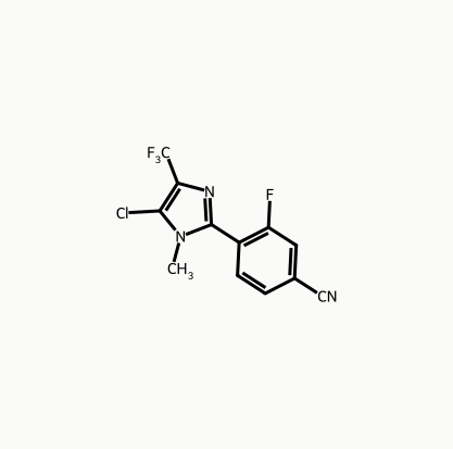 Cn1c(-c2ccc(C#N)cc2F)nc(C(F)(F)F)c1Cl